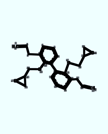 C=CCc1cccc(-c2cccc(CC=C)c2OCC2CO2)c1OCC1CO1